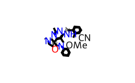 COc1ccccc1N1Cc2c(N[C@H](C)c3cccc(C#N)c3C)nc(C)nc2[C@]2(CCN(C)C2)C1=O